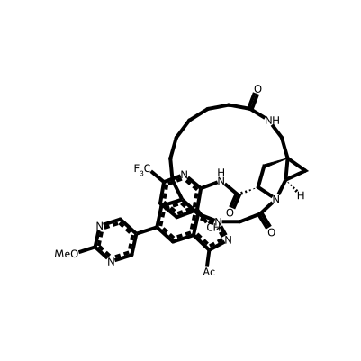 COc1ncc(-c2cc3c4c(c2)c(C(C)=O)nn4CC(=O)N2[C@H](C(=O)Nc4nc(C(F)(F)F)ccc4C)C[C@@]4(CNC(=O)CCCCCC3)C[C@@H]24)cn1